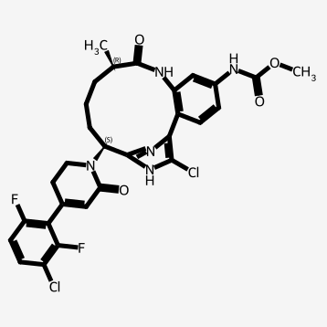 COC(=O)Nc1ccc2c(c1)NC(=O)[C@H](C)CCC[C@H](N1CCC(c3c(F)ccc(Cl)c3F)=CC1=O)c1nc-2c(Cl)[nH]1